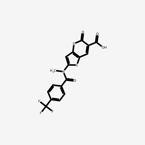 CN(C(=O)c1ccc(C(F)(F)F)cc1)c1cc2oc(=O)c(C(=O)O)cc2s1